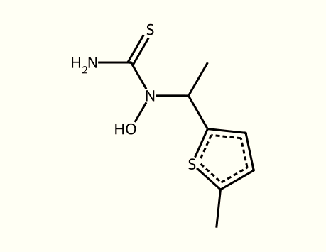 Cc1ccc(C(C)N(O)C(N)=S)s1